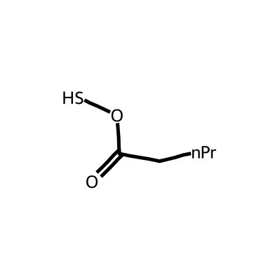 CCCCC(=O)OS